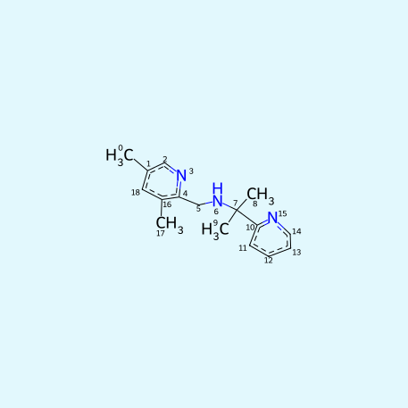 Cc1cnc(CNC(C)(C)c2ccccn2)c(C)c1